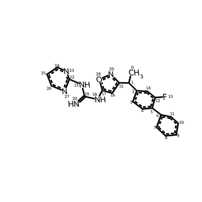 CC(c1ccc(-c2ccccc2)c(F)c1)c1cc(NC(=N)Nc2ncccn2)on1